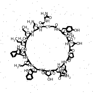 CCCC[C@H]1C(=O)N(C)[C@@H](CCCC)C(=O)N[C@@H](CCN)C(=O)N[C@H](C(=O)NCC(N)=O)CSCC(=O)N[C@@H](Cc2ccc(O)cc2)C(=O)N(C)[C@@H](C)C(=O)N[C@@H](CC(=O)O)C(=O)N2CCC[C@H]2C(=O)N[C@@H](Cc2cnc[nH]2)C(=O)N[C@@H](CCC(N)=O)C(=O)N2C[C@H](O)C[C@H]2C(=O)N[C@@H](Cc2c[nH]c3ccccc23)C(=O)N[C@@H](CCCN)C(=O)N[C@@H](Cc2c[nH]c3ccccc23)C(=O)N1C